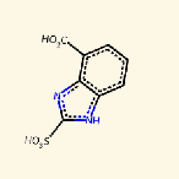 O=C(O)c1cccc2[nH]c(S(=O)(=O)O)nc12